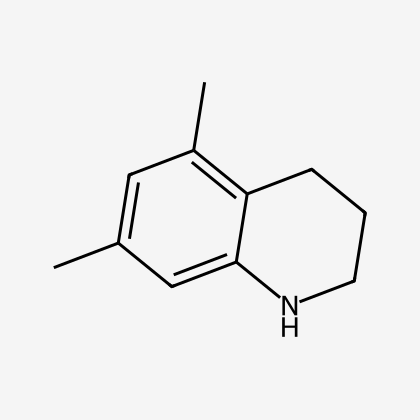 Cc1cc(C)c2c(c1)NCCC2